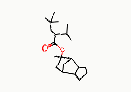 CC(C)C(CC(C)(C)C)C(=O)OC1(C)CC2CC1C1CCCC21